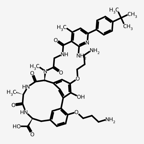 Cc1cc(-c2ccc(C(C)(C)C)cc2)nc(N)c1C(=O)NCC(=O)N(C)[C@@H]1C(=O)N[C@@H](C)C(=O)N[C@H](C(=O)O)Cc2ccc(OCCCN)c(c2)-c2cc1cc(OCCCN)c2O